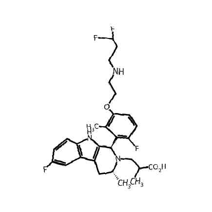 Cc1c(OCCNCCC(F)F)ccc(F)c1[C@@H]1c2[nH]c3ccc(F)cc3c2C[C@@H](C)N1CC(C)C(=O)O